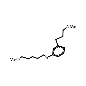 CNCCCc1cccc(SCCCCCOC)c1